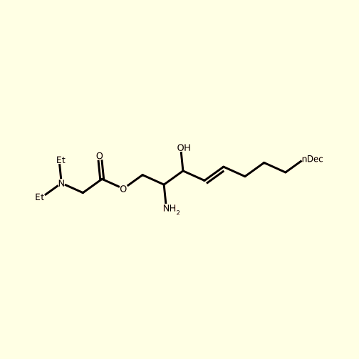 CCCCCCCCCCCCCC=CC(O)C(N)COC(=O)CN(CC)CC